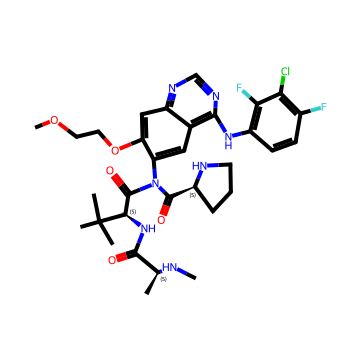 CN[C@@H](C)C(=O)N[C@H](C(=O)N(C(=O)[C@@H]1CCCN1)c1cc2c(Nc3ccc(F)c(Cl)c3F)ncnc2cc1OCCOC)C(C)(C)C